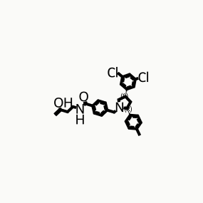 C=C(O)CCNC(=O)c1ccc(CN2C[C@H](c3cc(Cl)cc(Cl)c3)C[C@@H]2c2ccc(C)cc2)cc1